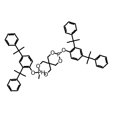 CC(C)(c1ccccc1)c1ccc(OP2OCC3(CO2)CO[PH](C)(Oc2ccc(C(C)(C)c4ccccc4)cc2C(C)(C)c2ccccc2)OC3)c(C(C)(C)c2ccccc2)c1